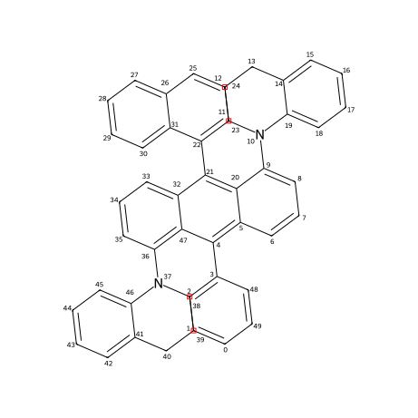 c1ccc(-c2c3cccc(N4CCCc5ccccc54)c3c(-c3cccc4ccccc34)c3cccc(N4CCCc5ccccc54)c23)cc1